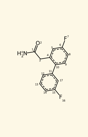 NC(=O)Cc1cc(F)ccc1-c1cccc(F)c1